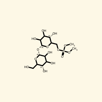 COP(=O)(OC)OCC1O[C@H](O[C@H]2OC(CO)[C@@H](O)C(O)C2O)C(O)C(O)[C@@H]1O